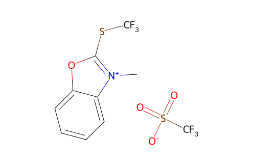 C[n+]1c(SC(F)(F)F)oc2ccccc21.O=S(=O)([O-])C(F)(F)F